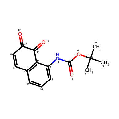 CC(C)(C)OC(=O)Nc1cccc2c1C(=O)C(=O)C=C2